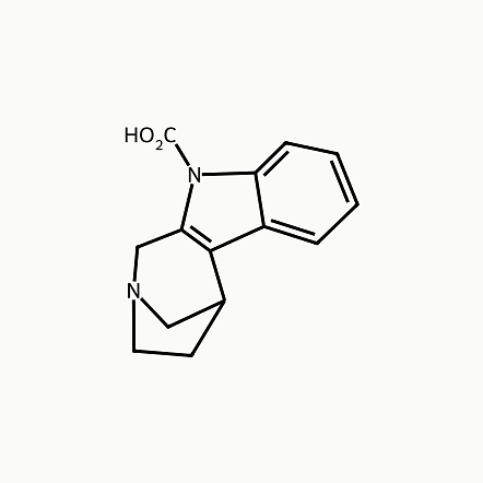 O=C(O)n1c2c(c3ccccc31)C1CCN(C2)C1